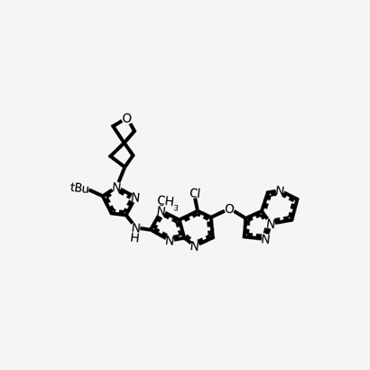 Cn1c(Nc2cc(C(C)(C)C)n(C3CC4(COC4)C3)n2)nc2ncc(Oc3cnn4ccncc34)c(Cl)c21